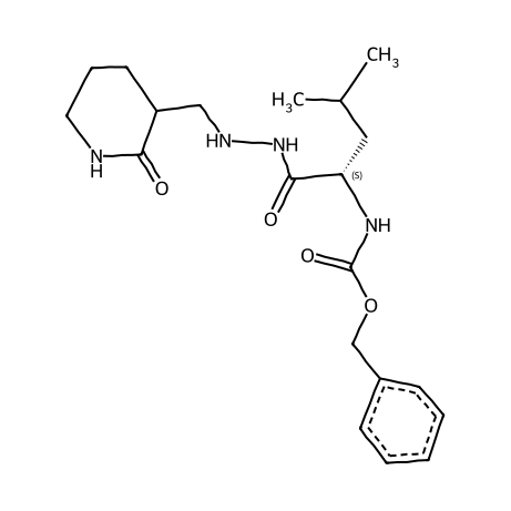 CC(C)C[C@H](NC(=O)OCc1ccccc1)C(=O)NNCC1CCCNC1=O